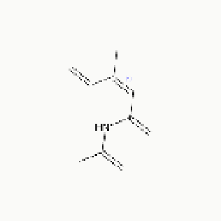 C=C/C(C)=C\C(=C)NC(=C)C